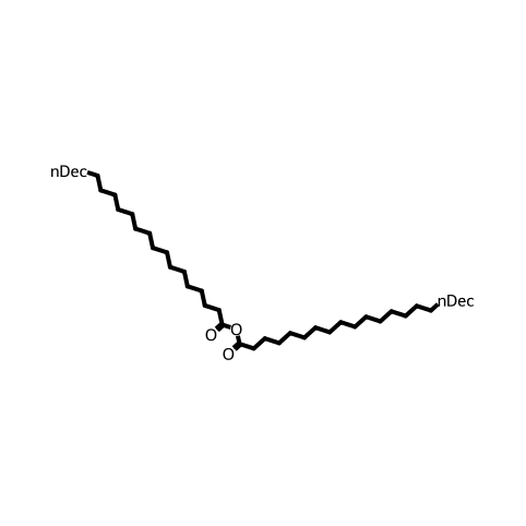 CCCCCCCCCCCCCCCCCCCCCCCCCC(=O)OC(=O)CCCCCCCCCCCCCCCCCCCCCCCCC